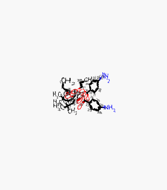 C=CC[O][Zr](=[O])([CH2]C(C)(C)C)([CH2]C(C)(C)C)([O]CC=C)([O]C(=O)c1ccc(N)cc1)[O]C(=O)c1ccc(N)cc1